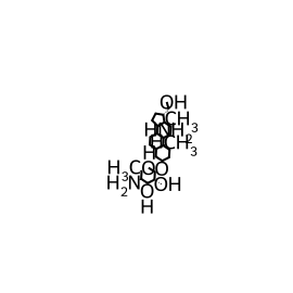 C[C@H]1O[C@@H](O[C@H]2CC[C@@]3(C)[C@H](CC[C@@H]4[C@@H]3CC[C@]3(C)[C@@H](CO)CC[C@]43N)C2)[C@H](O)[C@@H](O)[C@@H]1N